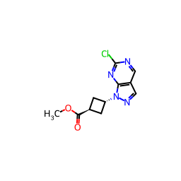 COC(=O)[C@H]1C[C@H](n2ncc3cnc(Cl)nc32)C1